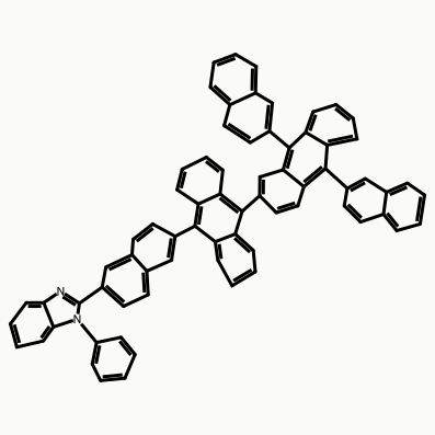 c1ccc(-n2c(-c3ccc4cc(-c5c6ccccc6c(-c6ccc7c(-c8ccc9ccccc9c8)c8ccccc8c(-c8ccc9ccccc9c8)c7c6)c6ccccc56)ccc4c3)nc3ccccc32)cc1